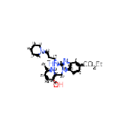 CCOC(=O)c1ccc2c(c1)nc(NCCCN1CCCCC1)n2Cc1nc(C)ccc1O